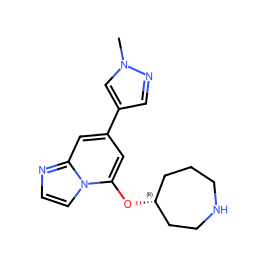 Cn1cc(-c2cc(O[C@@H]3CCCNCC3)n3ccnc3c2)cn1